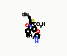 CC1CCC(C(=O)N(c2cc(C#CC(C)(C)C)sc2C(=O)O)C2CCC(OC3CCNCC3)CC2)CC1